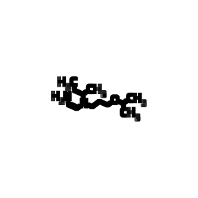 CCC(C)N(/C=C\N)CCCOC(C)C